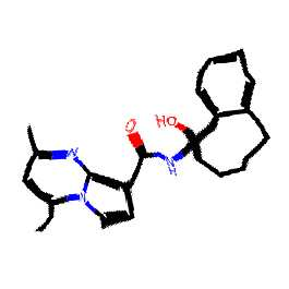 Cc1cc(C)n2ccc(C(=O)NC3(O)CCCc4ccccc43)c2n1